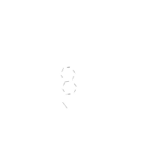 C=C(C)c1cc(C(C)(C)OCC(C)(O)C(F)(F)F)c2ccccc2c1